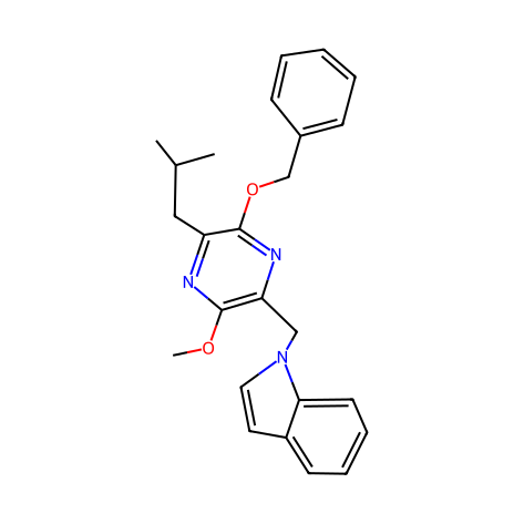 COc1nc(CC(C)C)c(OCc2ccccc2)nc1Cn1ccc2ccccc21